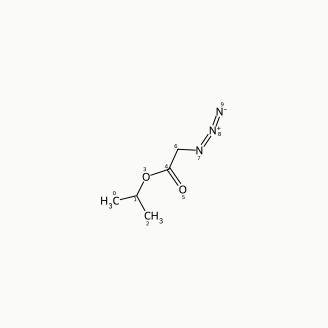 CC(C)OC(=O)CN=[N+]=[N-]